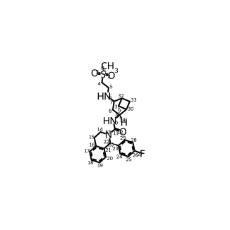 CS(=O)(=O)CCNC1C[C@@H](NC(=O)N2CCc3ccccc3[C@@H]2c2ccc(F)cc2)C2CC1C2